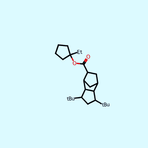 CCC1(OC(=O)C2CC3CC2C2C3C(C(C)(C)C)CC2C(C)(C)C)CCCC1